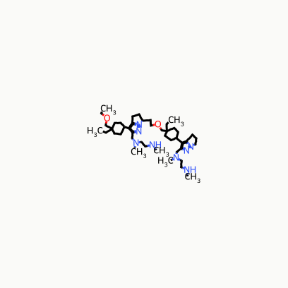 CCOCC1(CC)CCC(c2c(CN(C)CCNC)nn3c2CCC3CCOCC2(CC)CCC(c3c(CN(C)CCNC)nn4c3CCC4)CC2)CC1